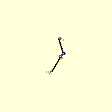 CCCCCCCCCCCCCCCCCC(=O)NCCN1CCN=C1CCCCCCCCCCCCCC